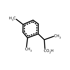 Cc1ccc(C(C)C(=O)O)c(C)c1